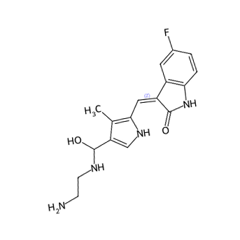 Cc1c(C(O)NCCN)c[nH]c1/C=C1\C(=O)Nc2ccc(F)cc21